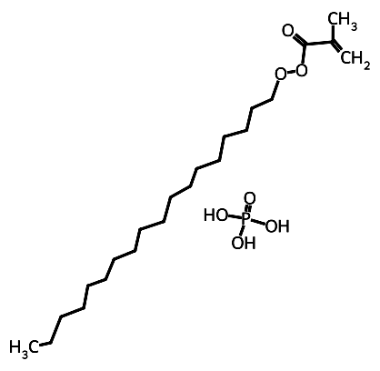 C=C(C)C(=O)OOCCCCCCCCCCCCCCCCCC.O=P(O)(O)O